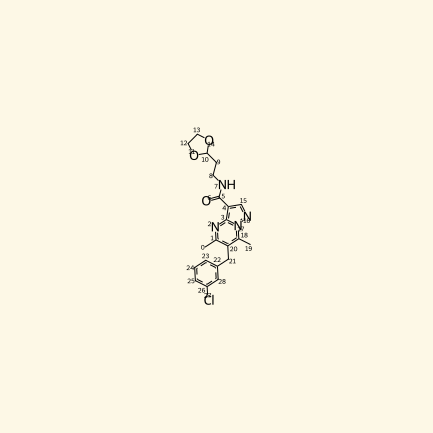 Cc1nc2c(C(=O)NCCC3OCCO3)cnn2c(C)c1Cc1cccc(Cl)c1